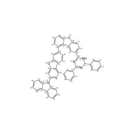 c1ccc(C2=NC(c3ccccc3)NC(c3ccc4sc5cccc(-c6ccc7c(c6)oc6cc(-n8c9ccccc9c9ccccc98)ccc67)c5c4c3)=N2)cc1